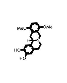 COc1ccc(OC)c2c1C[C@H]1c3cc(O)c(O)cc3CCN1C2